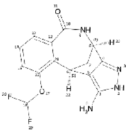 Nc1[nH]nc2c1[C@@H]1C[C@H]2NC(=O)c2cccc(OC(F)F)c21